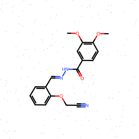 COc1ccc(C(=O)NN=Cc2ccccc2OCC#N)cc1OC